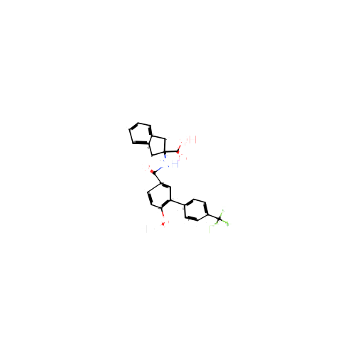 COc1ccc(C(=O)NC2(C(=O)O)Cc3ccccc3C2)cc1-c1ccc(C(F)(F)F)cc1